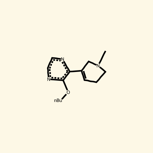 CCCCOc1nccnc1C1=CCCN(C)C1